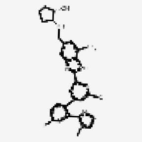 Cn1cnnc1-c1cc(F)ccc1-c1cc(Cl)nc(-c2nc3cc(CN[C@@H]4CCC[C@@H]4O)cc(C(F)(F)F)c3[nH]2)c1